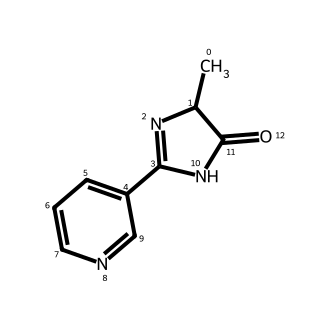 CC1N=C(c2cccnc2)NC1=O